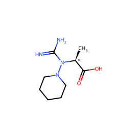 C[C@@H](C(=O)O)N(C(=N)N)N1CCCCC1